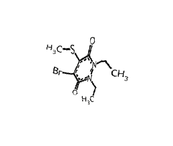 CCn1c(=O)c(Br)c(SC)c(=O)n1CC